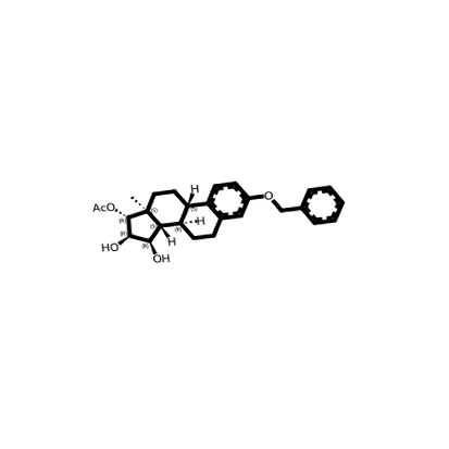 CC(=O)O[C@H]1[C@H](O)[C@H](O)[C@H]2[C@@H]3CCc4cc(OCc5ccccc5)ccc4[C@H]3CC[C@@]21C